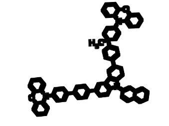 CC1(c2ccc(C3=Cc4c(n(-c5ccc6ccccc6c5)c5ccc(-c6ccc(-c7ccc(N8c9ccccc9Oc9ccccc98)cc7)cc6)cc45)CC3)cc2)C=CC(N2C3=CCCC=C3OC3C=CC=CC32)=CC1